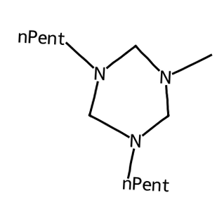 CCCCCN1CN(C)CN(CCCCC)C1